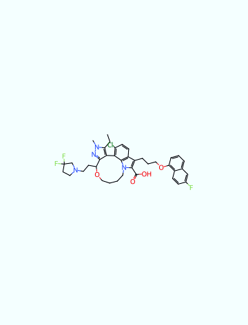 CCc1c2c(nn1C)C(CCN1CCC(F)(F)C1)OCCCCn1c(C(=O)O)c(CCCOc3cccc4cc(F)ccc34)c3ccc(Cl)c-2c31